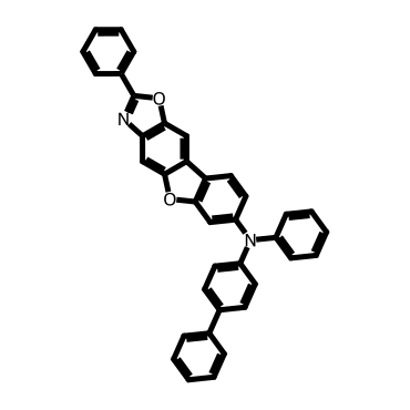 c1ccc(-c2ccc(N(c3ccccc3)c3ccc4c(c3)oc3cc5nc(-c6ccccc6)oc5cc34)cc2)cc1